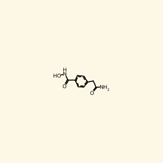 NC(=O)Cc1ccc(C(=O)NO)cc1